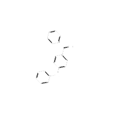 O=C(c1ccccc1)c1ccc(Oc2ccccc2)cc1